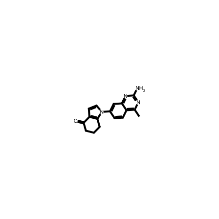 Cc1nc(N)nc2cc(-n3ccc4c3CCCC4=O)ccc12